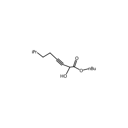 CCCCOC(=O)C(O)C#CCCC(C)C